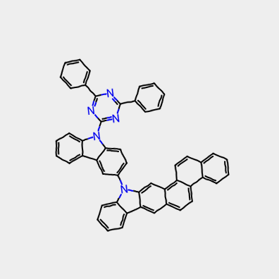 c1ccc(-c2nc(-c3ccccc3)nc(-n3c4ccccc4c4cc(-n5c6ccccc6c6cc7ccc8c9ccccc9ccc8c7cc65)ccc43)n2)cc1